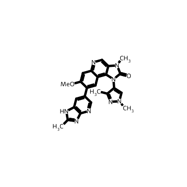 COc1cc2ncc3c(c2cc1-c1cnc2nc(C)[nH]c2c1)n(-c1cn(C)nc1C)c(=O)n3C